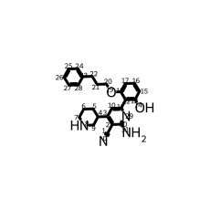 N#Cc1c(C2CCCNC2)cc(-c2c(O)cccc2OCCCc2ccccc2)nc1N